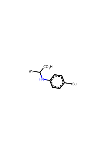 CC(C)C(Nc1ccc(C(C)(C)C)cc1)C(=O)O